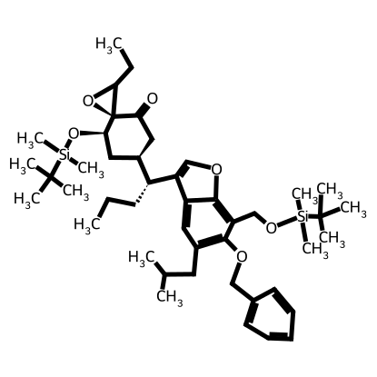 CCC[C@@H](c1coc2c(CO[Si](C)(C)C(C)(C)C)c(OCc3ccccc3)c(CC(C)C)cc12)[C@@H]1CC(=O)[C@]2(OC2CC)[C@H](O[Si](C)(C)C(C)(C)C)C1